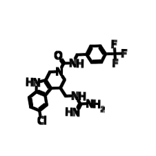 N=C(N)NCC1CN(C(=O)NCc2ccc(C(F)(F)F)cc2)Cc2[nH]c3ccc(Cl)cc3c21